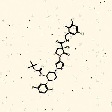 CC(C)(C)OC(=O)N[C@H]1C[C@@H](n2cc(N3CCC(O)(C(=O)NCc4cc(Cl)cc(Cl)c4F)C3=O)cn2)CO[C@@H]1c1cc(F)ccc1F